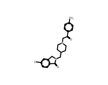 Cc1ccc(C(=O)CN2CCC(CN3Cc4cc(Cl)ccc4C3=O)CC2)cc1